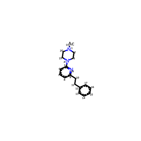 CC(=O)N1CCN(c2cccc(CCc3c[c]ccc3)n2)CC1